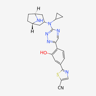 N#Cc1cnc(-c2ccc(-c3cnc(N(C4CC4)C4C[C@@H]5CC[C@@H](C4)N5)nn3)c(O)c2)s1